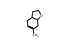 CC1=CCC2CCOC2C1